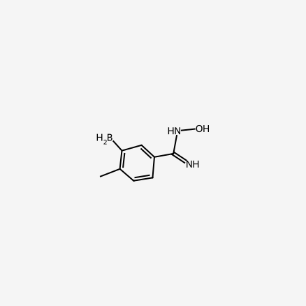 Bc1cc(C(=N)NO)ccc1C